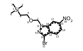 C[Si](C)(C)CCOCn1nc(Br)c2ccc([N+](=O)[O-])cc21